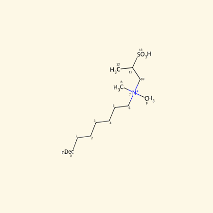 CCCCCCCCCCCCCCCC[N+](C)(C)CC(C)S(=O)(=O)O